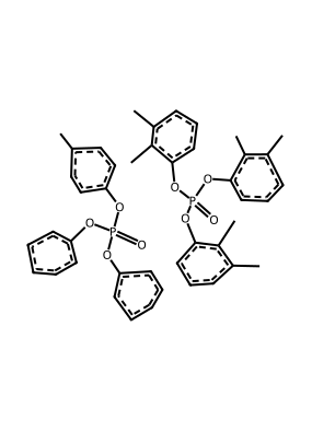 Cc1ccc(OP(=O)(Oc2ccccc2)Oc2ccccc2)cc1.Cc1cccc(OP(=O)(Oc2cccc(C)c2C)Oc2cccc(C)c2C)c1C